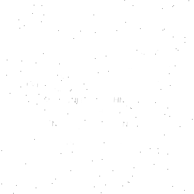 CC(C)(C)OC(=O)Nc1ncsc1-c1ccnc(NCc2ccccc2)c1